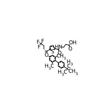 Cc1cc(O[C@H](CCC(F)(F)F)c2ccc(C(=O)NCCC(=O)O)s2)cc(C)c1-c1ccc(C(C)(C)C)cc1